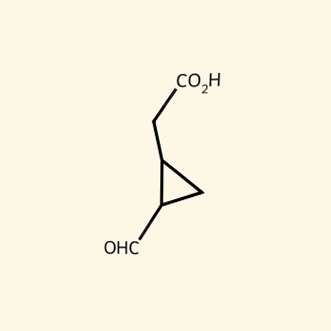 O=CC1CC1CC(=O)O